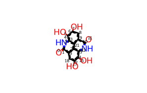 O=c1[nH]c2c(O)c(O)cc3c(=O)[nH]c4c(O)c(O)cc1c4c23